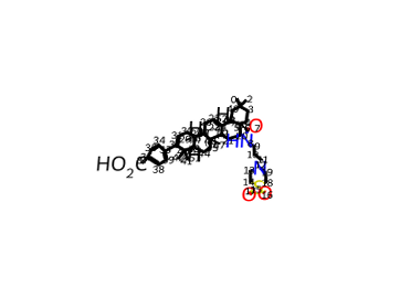 CC1(C)CC[C@]2(C(=O)NCCCN3CCS(=O)(=O)CC3)CC[C@]3(C)C(=CC[C@@H]4[C@@]5(C)CC=C(c6ccc(C(=O)O)cc6)C(C)(C)[C@@H]5CC[C@]43C)[C@@H]2C1